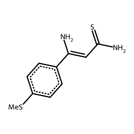 CSc1ccc(C(N)=CC(N)=S)cc1